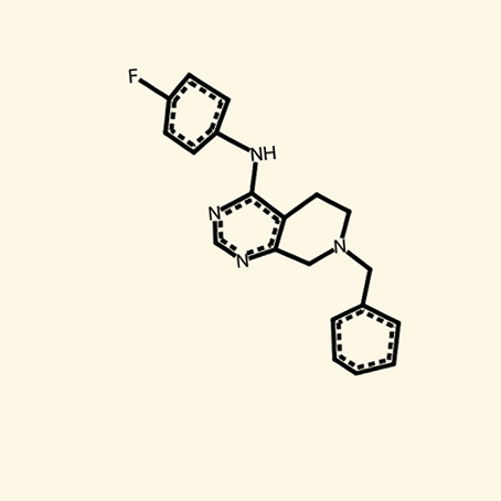 Fc1ccc(Nc2ncnc3c2CCN(Cc2ccccc2)C3)cc1